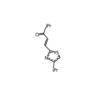 CC(C)C(=O)C=Cc1nc(C(C)C)cs1